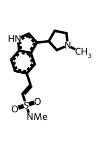 CNS(=O)(=O)C=Cc1ccc2[nH]cc(C3CCN(C)C3)c2c1